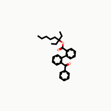 CCCCCC(CC)(CC)OC(=O)c1ccccc1-c1ccccc1C(=O)c1ccccc1